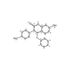 Cc1ccc(-c2c(Cc3ccccc3)c3ccc(O)cc3oc2=O)cc1